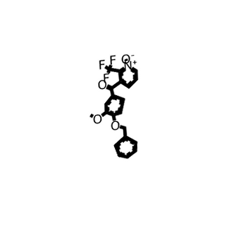 COc1cc(C(=O)c2ccc[n+]([O-])c2C(F)(F)F)ccc1OCc1ccccc1